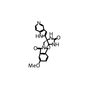 COc1ccc2c(c1)C(=O)N(C[C@@]1(c3cc4cnccc4[nH]3)NC(=O)NC1=O)C2